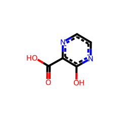 O=C(O)c1nccnc1O